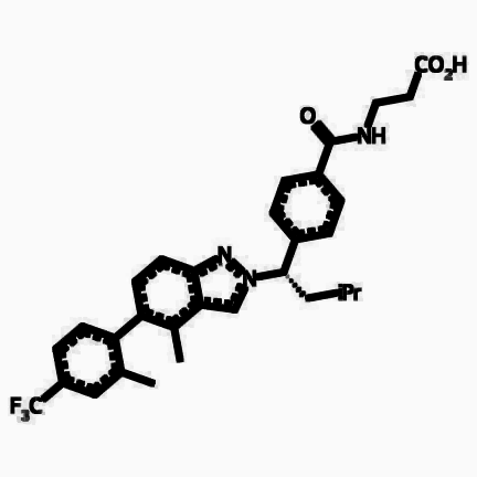 Cc1cc(C(F)(F)F)ccc1-c1ccc2nn([C@@H](CC(C)C)c3ccc(C(=O)NCCC(=O)O)cc3)cc2c1C